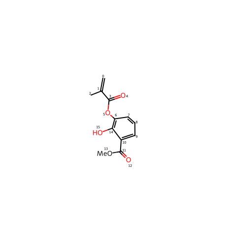 C=C(C)C(=O)Oc1cccc(C(=O)OC)c1O